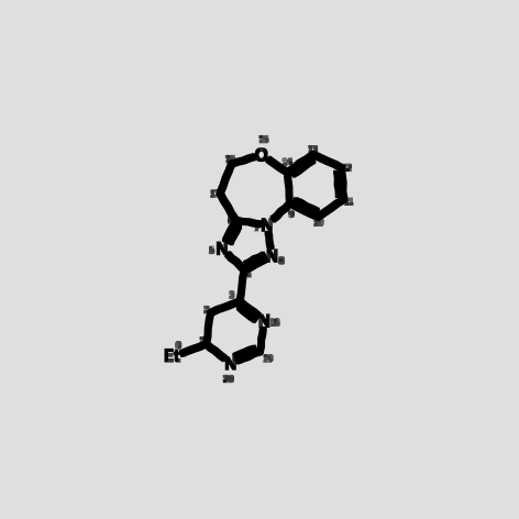 CCC1CC(c2nc3n(n2)-c2ccccc2OCC3)=NC=N1